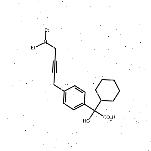 CCN(CC)CC#CCc1ccc(C(O)(C(=O)O)C2CCCCC2)cc1